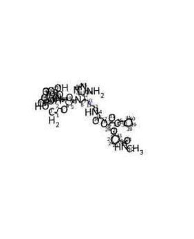 C=CCOC1C[C@H](N2C=C(/C=C/CNCC(=O)COC(COc3cccc(C(=O)NC)c3)C(=O)OCc3ccccc3)C3C(N)=NC=NC32)O[C@@H]1COP(=O)(O)OP(=O)(O)OP(=O)(O)O